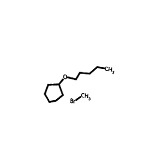 CBr.CCCCCOC1CCCCC1